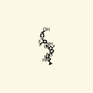 CC[C@H]1CN(C(=O)Nc2ccc(CN3CCN(CCO)CC3)c(C(F)F)c2)Cc2cc(Oc3ncnc4[nH]c(C5CC5)cc34)ccc21